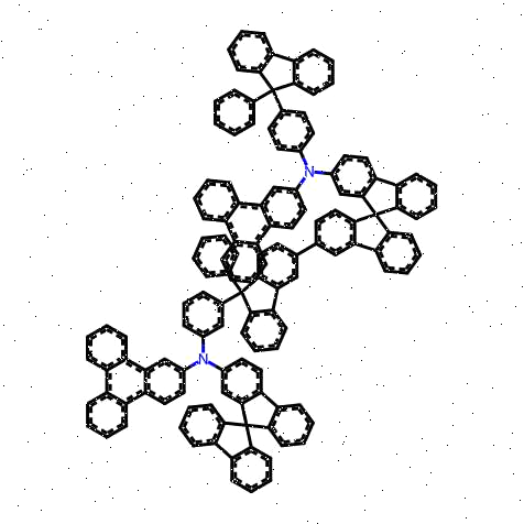 c1ccc(C2(c3ccc(N(c4ccc5c(c4)C4(c6ccccc6-c6cc(-c7ccc8c(c7)-c7ccccc7C8(c7ccccc7)c7cccc(N(c8ccc9c(c8)C8(c%10ccccc%10-c%10ccccc%108)c8ccccc8-9)c8ccc9c%10ccccc%10c%10ccccc%10c9c8)c7)ccc64)c4ccccc4-5)c4ccc5c6ccccc6c6ccccc6c5c4)cc3)c3ccccc3-c3ccccc32)cc1